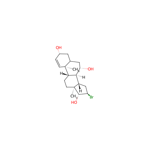 C[C@]12CC[C@H]3[C@@H]([C@@H](O)CC4C[C@@H](O)C=C[C@@]43C)[C@@H]1C[C@@H](Br)[C@@H]2O